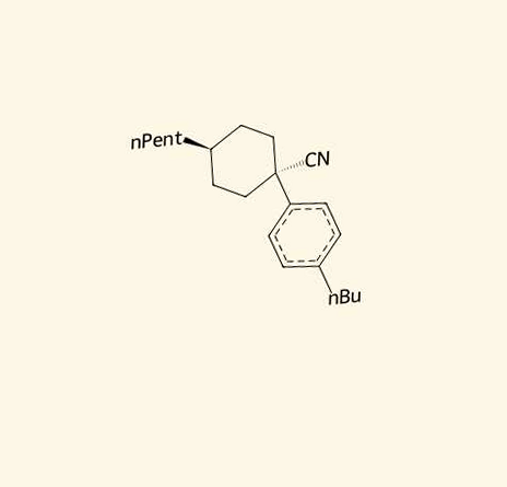 CCCCC[C@H]1CC[C@@](C#N)(c2ccc(CCCC)cc2)CC1